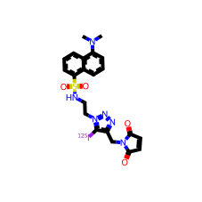 CN(C)c1cccc2c(S(=O)(=O)NCCn3nnc(CN4C(=O)C=CC4=O)c3[125I])cccc12